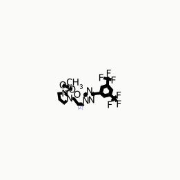 CS(=O)(=O)N1CCCN1C(=O)/C=C\n1cnc(-c2cc(C(F)(F)F)cc(C(F)(F)F)c2)n1